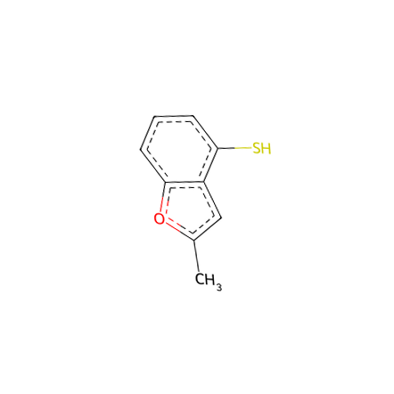 Cc1cc2c(S)cccc2o1